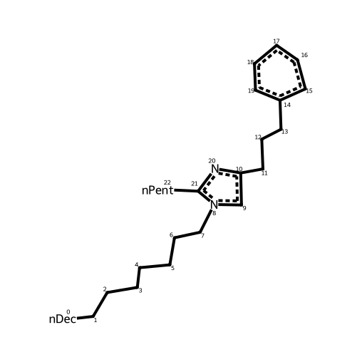 CCCCCCCCCCCCCCCCCn1cc(CCCc2ccccc2)nc1CCCCC